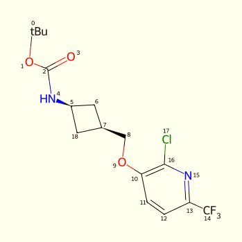 CC(C)(C)OC(=O)N[C@H]1C[C@@H](COc2ccc(C(F)(F)F)nc2Cl)C1